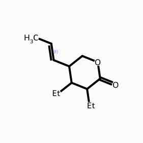 C/C=C/C1COC(=O)C(CC)C1CC